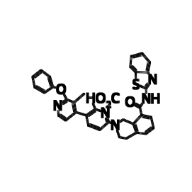 Cc1c(-c2ccc(N3CCc4cccc(C(=O)Nc5nc6ccccc6s5)c4C3)nc2C(=O)O)ccnc1Oc1ccccc1